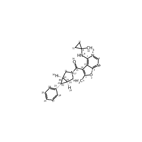 Cc1oc2ncnc(NC3(C)CC3)c2c1C(=O)N1C[C@@H]2[C@H](C1)[C@H]2c1ccccc1